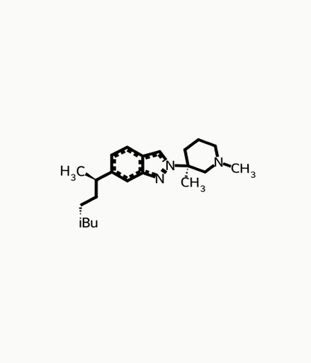 CC[C@@H](C)CC[C@@H](C)c1ccc2cn([C@@]3(C)CCCN(C)C3)nc2c1